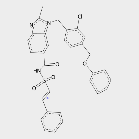 Cc1nc2ccc(C(=O)NS(=O)(=O)/C=C/c3ccccc3)cc2n1Cc1ccc(COc2ccccc2)cc1Cl